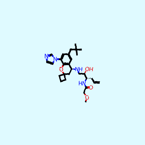 C=CC[C@H](NC(=O)COC)[C@H](O)CN[C@H]1CC2(CCC2)Oc2c1cc(CC(C)(C)C)cc2-n1ccnc1